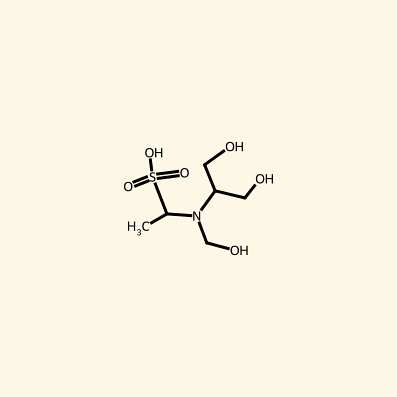 CC(N(CO)C(CO)CO)S(=O)(=O)O